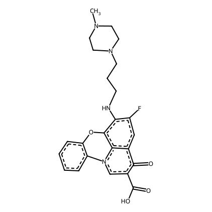 CN1CCN(CCCNc2c(F)cc3c(=O)c(C(=O)O)cn4c3c2Oc2ccccc2-4)CC1